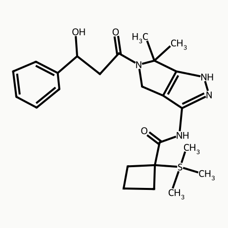 CC1(C)c2[nH]nc(NC(=O)C3(S(C)(C)C)CCC3)c2CN1C(=O)CC(O)c1ccccc1